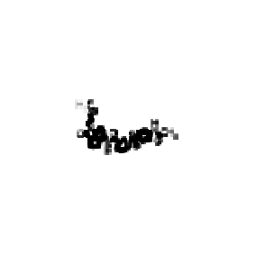 COCCCN1C(=O)c2cccc3c(NC(=O)C4CCCN(S(=O)(=O)c5ccc(NC(C)=O)cc5)C4)ccc1c23